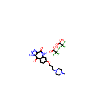 CN1CCN(CCCOc2ccc3c(=O)c4[nH]nnc4c(=O)[nH]c3c2)CC1.O=C(O)C(F)(F)F.O=C(O)C(F)(F)F